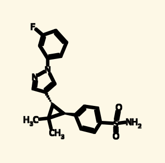 CC1(C)[C@H](c2ccc(S(N)(=O)=O)cc2)[C@H]1c1cnn(-c2cccc(F)c2)c1